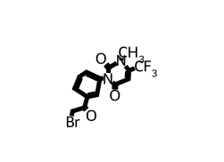 Cn1c(C(F)(F)F)cc(=O)n(-c2cccc(C(=O)CBr)c2)c1=O